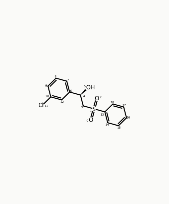 O=S(=O)(C[C@H](O)c1cccc(Cl)c1)c1ccccc1